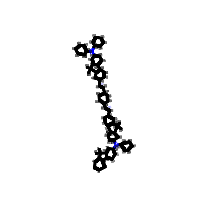 CC1(C)c2ccccc2-c2ccc(N(c3ccccc3)c3ccc4c(c3)C(C)(C)c3cc(/C=C/c5ccc(/C=C/c6ccc7c(c6)C(C)(C)c6cc(N(c8ccccc8)c8ccccc8)ccc6-7)cc5)ccc3-4)cc21